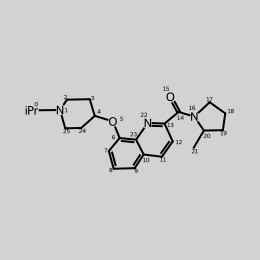 CC(C)N1CCC(Oc2cccc3ccc(C(=O)N4CCCC4C)nc23)CC1